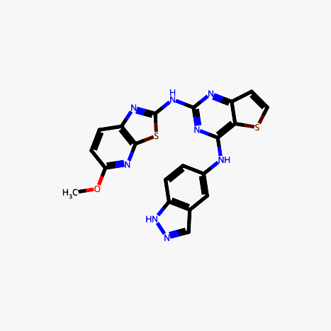 COc1ccc2nc(Nc3nc(Nc4ccc5[nH]ncc5c4)c4sccc4n3)sc2n1